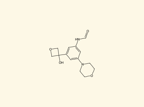 O=CNc1cc(N2CCOCC2)cc(C2(O)COC2)c1